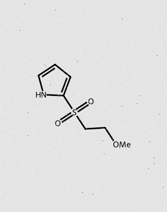 COCCS(=O)(=O)c1ccc[nH]1